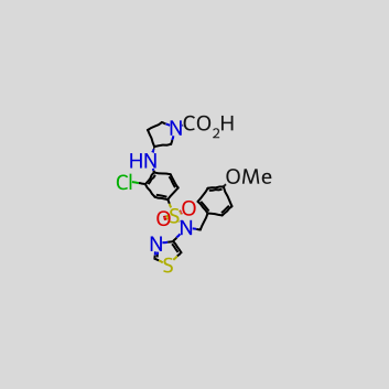 COc1ccc(CN(c2cscn2)S(=O)(=O)c2ccc(N[C@H]3CCN(C(=O)O)C3)c(Cl)c2)cc1